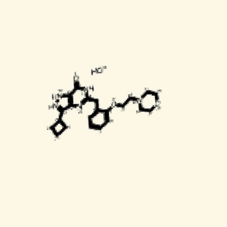 Cl.O=c1[nH]c(Cc2ccccc2OCCN2CCOCC2)nc2c(C3CCC3)n[nH]c12